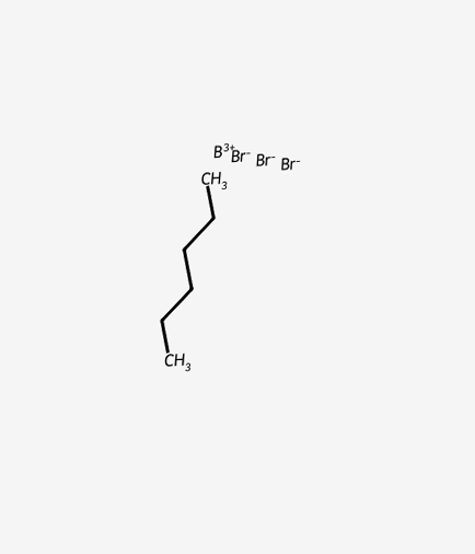 CCCCCC.[B+3].[Br-].[Br-].[Br-]